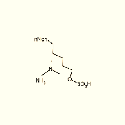 CCCCCCCCCCCCCCOS(=O)(=O)O.CN(C)C.N